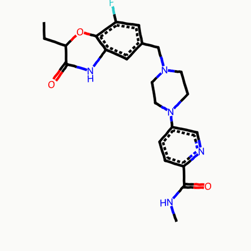 CCC1Oc2c(F)cc(CN3CCN(c4ccc(C(=O)NC)nc4)CC3)cc2NC1=O